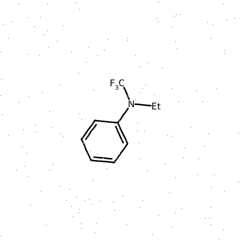 CCN(c1ccccc1)C(F)(F)F